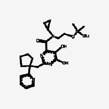 CC(C)(C)[Si](C)(C)OCCN(C(=O)c1nc(CC2(c3ccccn3)CCCC2)nc(O)c1O)C1CC1